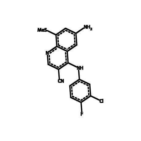 CSc1cc(N)cc2c(Nc3ccc(F)c(Cl)c3)c(C#N)cnc12